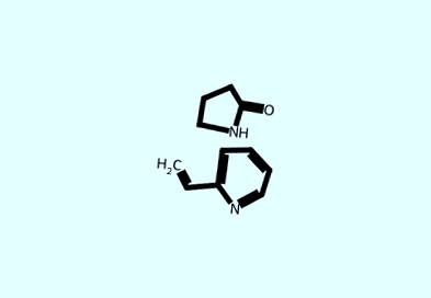 C=Cc1ccccn1.O=C1CCCN1